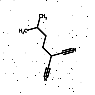 CC(C)CCC(C#N)C#N